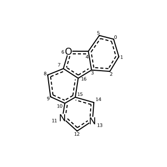 c1ccc2c(c1)oc1ccc3ncncc3c12